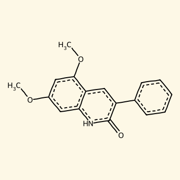 COc1cc(OC)c2cc(-c3ccccc3)c(=O)[nH]c2c1